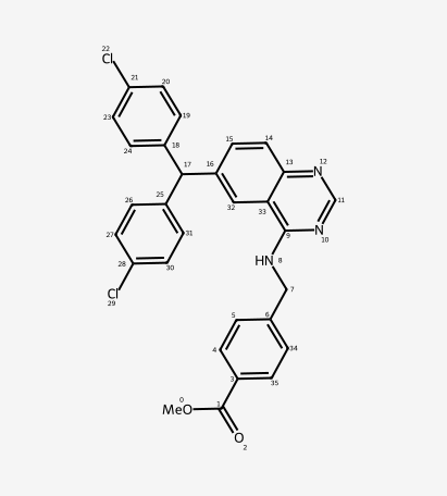 COC(=O)c1ccc(CNc2ncnc3ccc(C(c4ccc(Cl)cc4)c4ccc(Cl)cc4)cc23)cc1